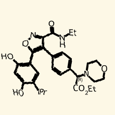 CCNC(=O)c1noc(-c2cc(C(C)C)c(O)cc2O)c1-c1ccc([C@H](C(=O)OCC)N2CCOCC2)cc1